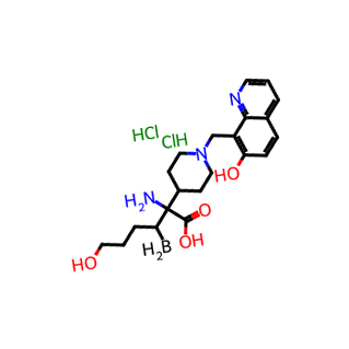 BC(CCCO)C(N)(C(=O)O)C1CCN(Cc2c(O)ccc3cccnc23)CC1.Cl.Cl